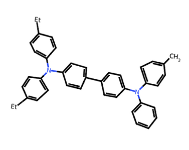 CCc1ccc(N(c2ccc(CC)cc2)c2ccc(-c3ccc(N(c4ccccc4)c4ccc(C)cc4)cc3)cc2)cc1